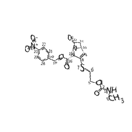 CNC(=O)OCCSC1=CC2CC(=O)N2[C@H]1C(=O)OCc1ccc([N+](=O)[O-])cc1